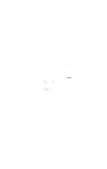 CC(C)OC(=O)Oc1cn(C)nc1C(F)F